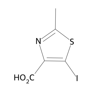 Cc1nc(C(=O)O)c(I)s1